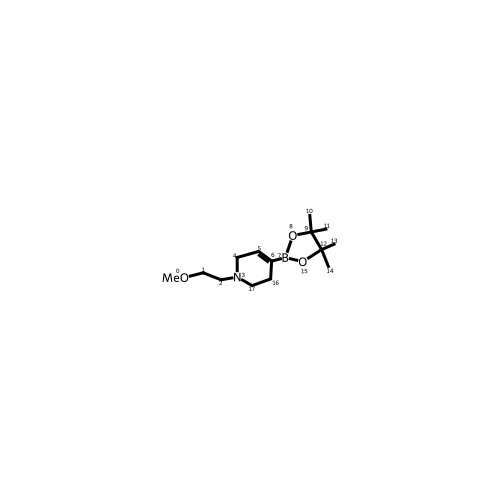 COCCN1CC=C(B2OC(C)(C)C(C)(C)O2)CC1